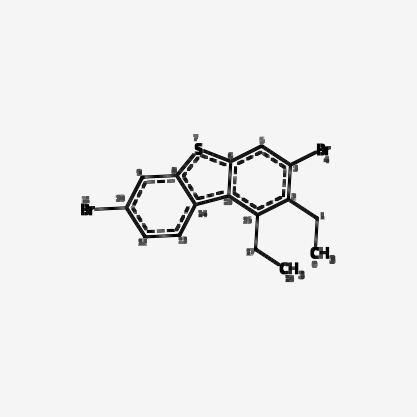 CCc1c(Br)cc2sc3cc(Br)ccc3c2c1CC